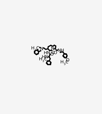 CCN(CCC1CCC2CC[C@@H](C(=O)NCCc3ccc(OC)cc3)N2C(=O)C1NC(=O)C(Cc1ccccc1)NC)Cc1ccccc1